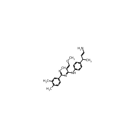 C\N=C(/N=C(\C=C\OC)Nc1ccc(C(C)C=CN)cc1)c1ccc(C)c(C)c1